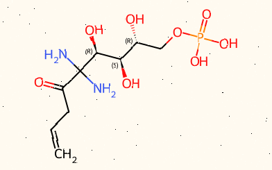 C=CCC(=O)C(N)(N)[C@@H](O)[C@H](O)[C@H](O)COP(=O)(O)O